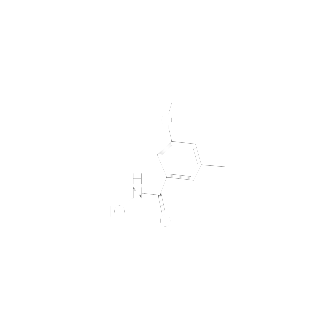 [CH2]Oc1cc(C)cc(C(=O)NO)c1